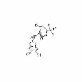 FC(F)(F)c1cnc(NC2Cc3cc(S)c(Cl)cc3C2)c(Cl)c1